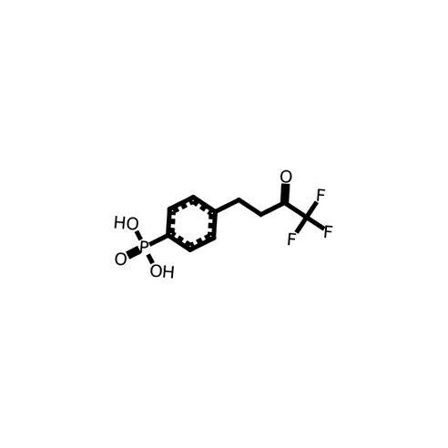 O=C(CCc1ccc(P(=O)(O)O)cc1)C(F)(F)F